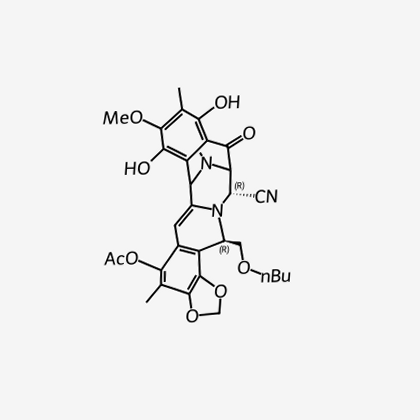 CCCCOC[C@H]1c2c(c(OC(C)=O)c(C)c3c2OCO3)C=C2C3c4c(O)c(OC)c(C)c(O)c4C(=O)C([C@H](C#N)N21)N3C